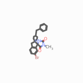 CN1C(=O)NC2(C1=O)c1cc(Br)ccc1CC21CCC(Cc2ccccc2)CC1